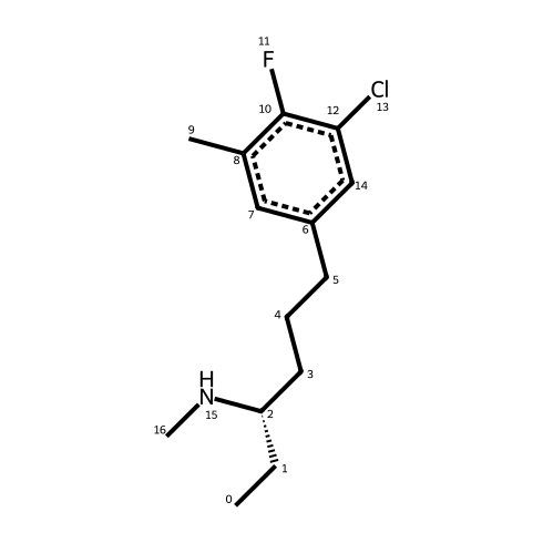 CC[C@@H](CCCc1cc(C)c(F)c(Cl)c1)NC